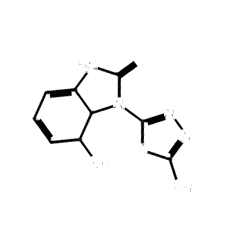 Cc1nnc(N2C(=O)NC3=CC=CC(C)C32)s1